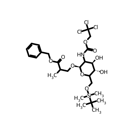 CC(CO[C@@H]1OC(CO[Si](C)(C)C(C)(C)C)[C@@H](O)[C@H](O)C1NC(=O)OCC(Cl)(Cl)Cl)C(=O)OCc1ccccc1